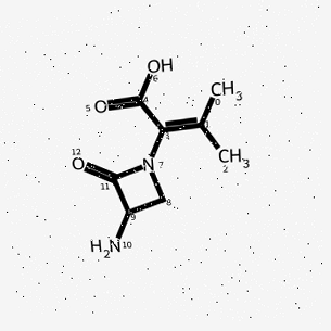 CC(C)=C(C(=O)O)N1CC(N)C1=O